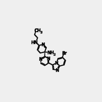 CCCNC1=CCC(N)(c2nccc(-c3cnc4ccc(Br)cn34)n2)C=N1